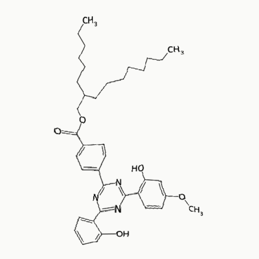 CCCCCCCCC(CCCCCC)COC(=O)c1ccc(-c2nc(-c3ccccc3O)nc(-c3ccc(OC)cc3O)n2)cc1